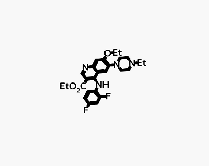 CCOC(=O)c1cnc2cc(OCC)c(N3CCN(CC)CC3)cc2c1Nc1ccc(F)cc1F